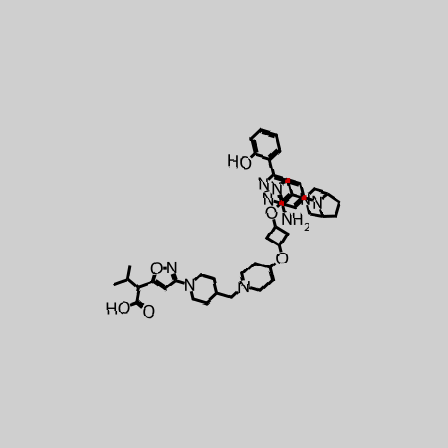 CC(C)C(C(=O)O)c1cc(N2CCC(CN3CCC(OC4CC(Oc5cc(N6C7CCC6CN(c6cc(-c8ccccc8O)nnc6N)C7)ccn5)C4)CC3)CC2)no1